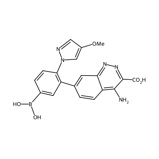 COc1cnn(-c2ccc(B(O)O)cc2-c2ccc3c(N)c(C(=O)O)nnc3c2)c1